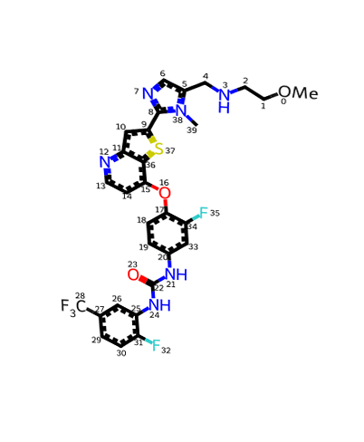 COCCNCc1cnc(-c2cc3nccc(Oc4ccc(NC(=O)Nc5cc(C(F)(F)F)ccc5F)cc4F)c3s2)n1C